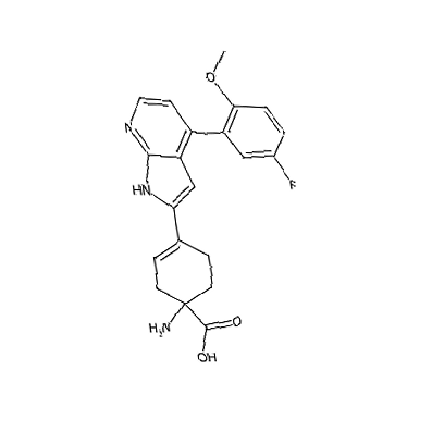 COc1ccc(F)cc1-c1ccnc2[nH]c(C3=CCC(N)(C(=O)O)CC3)cc12